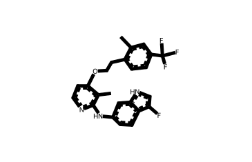 Cc1cc(C(F)(F)F)ccc1CCOc1ccnc(Nc2ccc3c(F)c[nH]c3c2)c1C